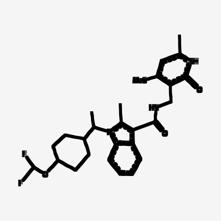 CSc1cc(C)[nH]c(=O)c1CNC(=O)c1c(C)n(C(C)C2CCC(OC(F)F)CC2)c2ccccc12